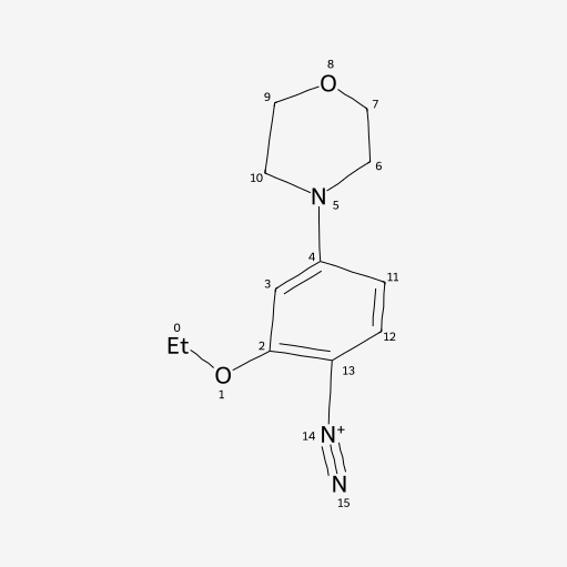 CCOc1cc(N2CCOCC2)ccc1[N+]#N